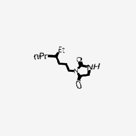 CCCC(CC)CCCN1C(=O)CNC1=O